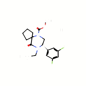 CC(C)(C)OC(=O)N1C[C@@H](c2cc(F)cc(F)c2)N(CC(=O)O)C(=O)C12CCCC2.[LiH]